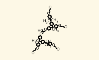 CC(C)(c1ccc(OCCC=O)cc1)c1ccc(C(C)(c2ccc(OCCC=O)cc2)c2ccc(OCC(O)COc3ccc(C(C)(c4ccc(OCCC=O)cc4)c4ccc(C(C)(C)c5ccc(OCCC=O)cc5)cc4)cc3)cc2)cc1